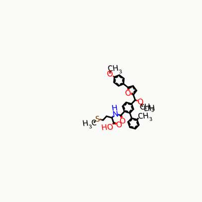 COc1ccc(-c2ccc(C(OC)c3ccc(C(=O)NC(CCSC)C(=O)O)c(-c4ccccc4C)c3)o2)cc1.[LiH]